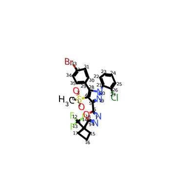 CS(=O)(=O)c1c(-c2nnc(C3(C(F)(F)F)CCC3)o2)nn(-c2ccccc2Cl)c1-c1ccc(Br)cc1